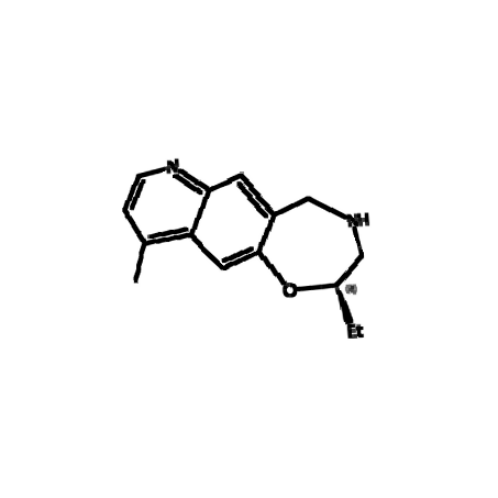 CC[C@@H]1CNCc2cc3nccc(C)c3cc2O1